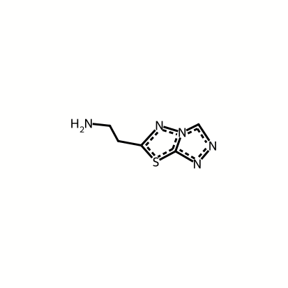 NCCc1nn2cnnc2s1